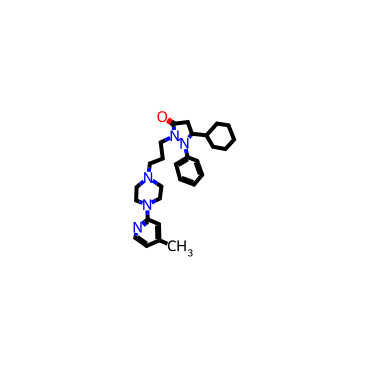 Cc1ccnc(N2CCN(CCCN3C(=O)CC(C4CCCCC4)N3c3ccccc3)CC2)c1